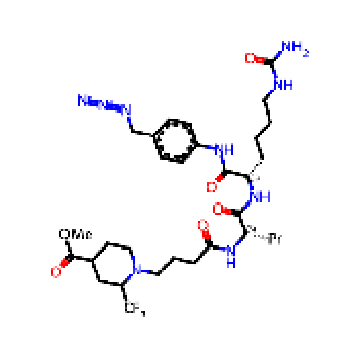 COC(=O)C1CCN(CCCC(=O)N[C@H](C(=O)N[C@@H](CCCCNC(N)=O)C(=O)Nc2ccc(CN=[N+]=[N-])cc2)C(C)C)C(C(F)(F)F)C1